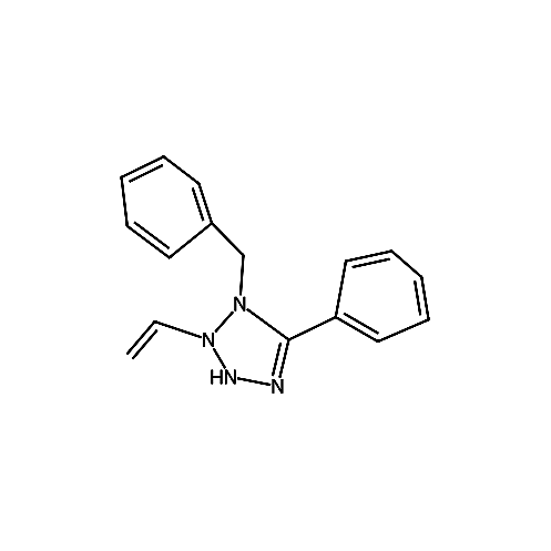 C=CN1NN=C(c2ccccc2)N1Cc1ccccc1